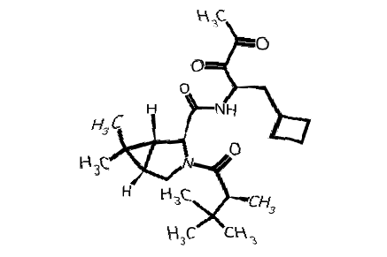 CC(=O)C(=O)[C@@H](CC1CCC1)NC(=O)[C@@H]1[C@@H]2[C@H](CN1C(=O)[C@@H](C)C(C)(C)C)C2(C)C